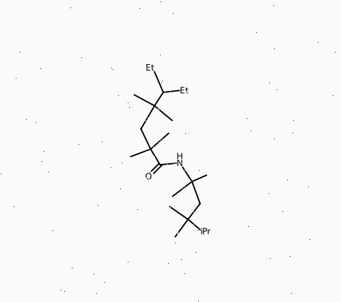 CCC(CC)C(C)(C)CC(C)(C)C(=O)NC(C)(C)CC(C)(C)C(C)C